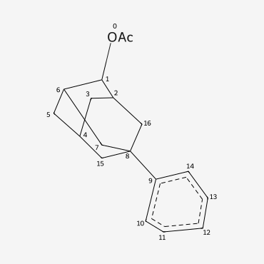 CC(=O)OC1C2CC3CC1CC(c1ccccc1)(C3)C2